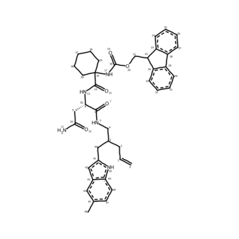 C=CCC(CNC(=O)[C@H](CC(N)=O)NC(=O)C1(NC(=O)OCC2c3ccccc3-c3ccccc32)CCCCC1)Cc1cc2cc(C)ccc2[nH]1